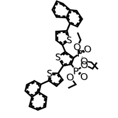 CCOP(=O)(OCC)c1c(-c2ccc(-c3cccc4ccccc34)s2)sc(-c2ccc(-c3cccc4ccccc34)s2)c1P(=O)(OCC)OCC